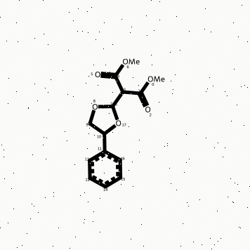 COC(=O)C(C(=O)OC)C1OCC(c2ccccc2)O1